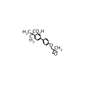 CC1(COc2ccc(-c3ccc(C(C)(C)C(=O)O)cc3)cc2)COC1